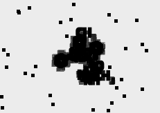 COC(=O)[C@H](Cc1c[nH]cn1)N(Cc1ccccc1)C(=O)CN(CCc1ccccc1)S(=O)(=O)c1ccc(C)cc1